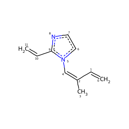 C=C/C(C)=C\n1ccnc1C=C